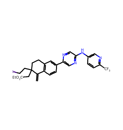 C=C1c2ccc(-c3cnc(Nc4ccc(C(F)(F)F)nc4)cn3)cc2CCC1(CCI)CC(=O)OCC